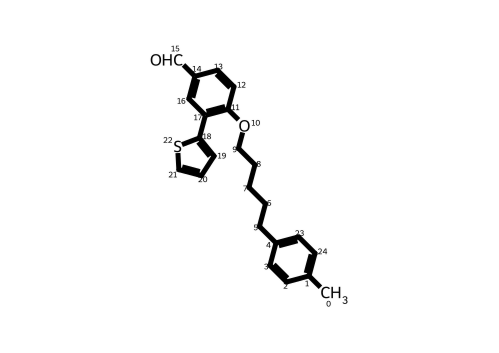 Cc1ccc(CCCCCOc2ccc(C=O)cc2-c2cccs2)cc1